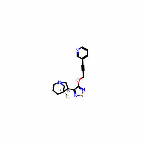 C(#Cc1cccnc1)COc1nsnc1[C@@H]1CN2CCC[C@H]1C2